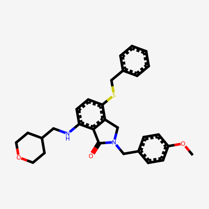 COc1ccc(CN2Cc3c(SCc4ccccc4)ccc(NCC4CCOCC4)c3C2=O)cc1